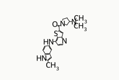 Cc1cc2cc(Nc3ccnc4cc(C(=O)N5CCC(N(C)C)C5)sc34)ccc2[nH]1